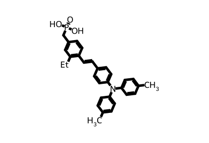 CCc1cc(CP(=O)(O)O)ccc1C=Cc1ccc(N(c2ccc(C)cc2)c2ccc(C)cc2)cc1